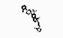 Cc1ccccc1N1CCN(c2cc3ccn(CCCN4CCOC4=O)c(=O)c3cc2[N+](=O)[O-])CC1